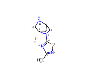 Cc1nsc(N2CC3C[C@@H]2CN3)n1